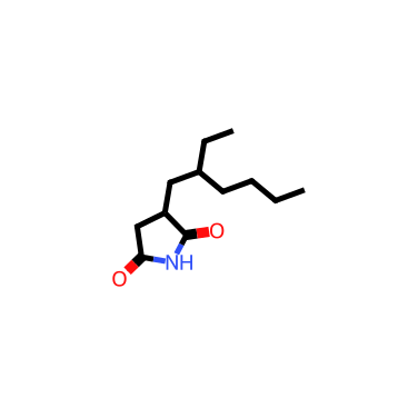 CCCCC(CC)CC1CC(=O)NC1=O